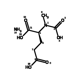 CN(C(=O)O)[C@@H](CCC(=O)O)C(=O)O.N